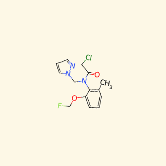 Cc1cccc(OCF)c1N(Cn1cccn1)C(=O)CCl